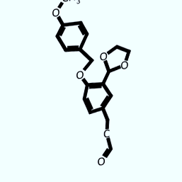 COc1ccc(COc2ccc(CCC=O)cc2C2OCCO2)cc1